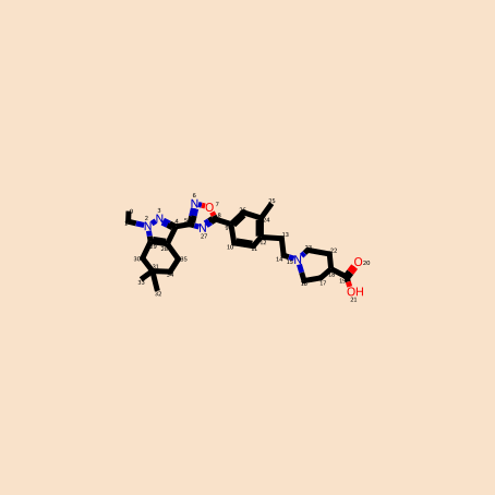 CCn1nc(-c2noc(-c3ccc(CCN4CCC(C(=O)O)CC4)c(C)c3)n2)c2c1CC(C)(C)CC2